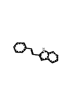 C(=C\c1cc2ccccc2[nH]1)/c1ccccc1